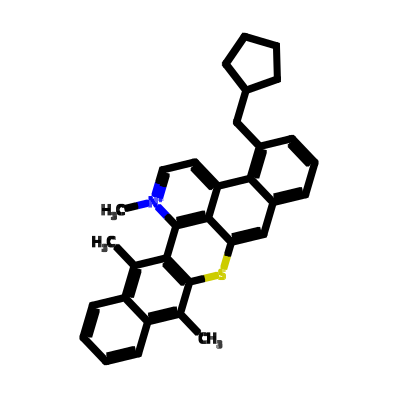 Cc1c2c(c(C)c3ccccc13)-c1c3c(cc4cccc(CC5CCCC5)c4c3cc[n+]1C)S2